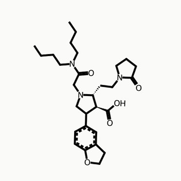 CCCCN(CCCC)C(=O)CN1CC(c2ccc3c(c2)CCO3)[C@H](C(=O)O)[C@H]1CCN1CCCC1=O